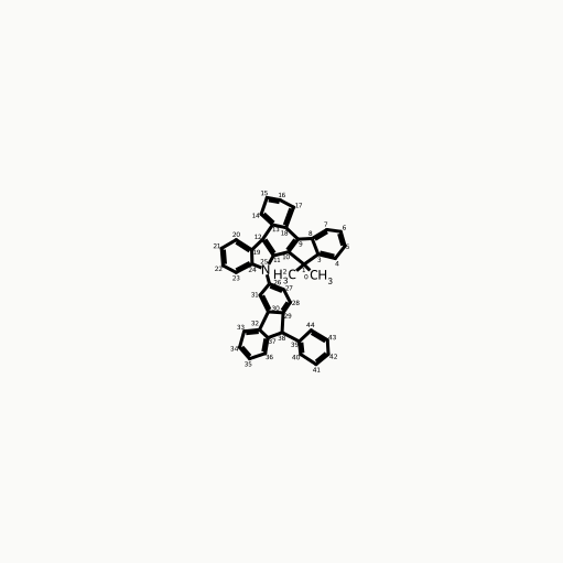 CC1(C)c2ccccc2-c2c1c1c(c3ccccc23)c2ccccc2n1-c1ccc2c(c1)-c1ccccc1C2c1ccccc1